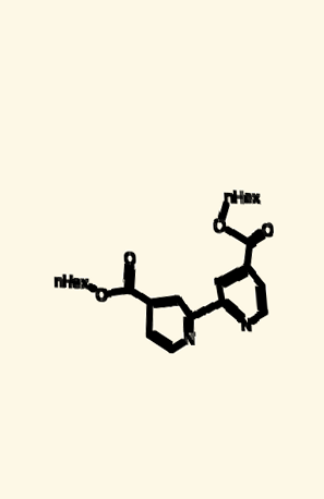 CCCCCCOC(=O)c1ccnc(-c2cc(C(=O)OCCCCCC)ccn2)c1